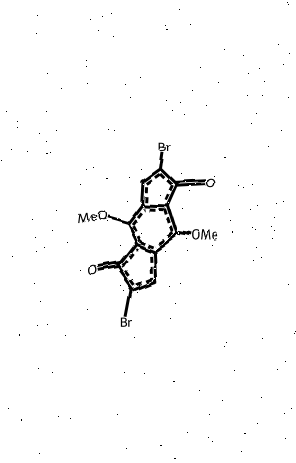 COc1c2cc(Br)c(=O)c2c(OC)c2cc(Br)c(=O)c12